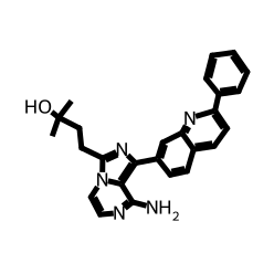 CC(C)(O)CCc1nc(-c2ccc3ccc(-c4ccccc4)nc3c2)c2c(N)nccn12